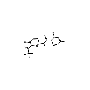 CC(C(=O)c1ccc(F)cc1F)c1ccc2nnc(C(C)(C)C)n2n1